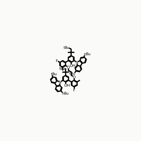 CCCCc1ccc2c3ccc(C(C)(C)C)cc3n(-c3cc(C(C)(C)CC(C)(C)C)cc(-c4cc(F)cc(C)c4OCCCOc4c(C)cc(F)cc4-c4cc(C(C)(C)CC(C)(C)C)cc(-n5c6cc(CCCC)ccc6c6ccc(C(C)(C)C)cc65)c4O)c3O)c2c1